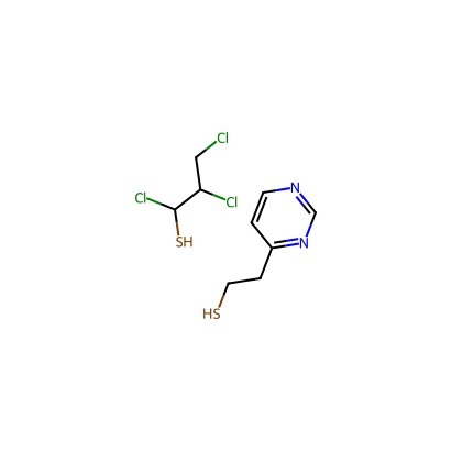 SC(Cl)C(Cl)CCl.SCCc1ccncn1